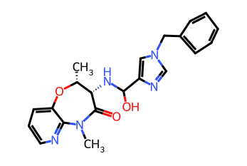 C[C@H]1Oc2cccnc2N(C)C(=O)[C@H]1NC(O)c1cn(Cc2ccccc2)cn1